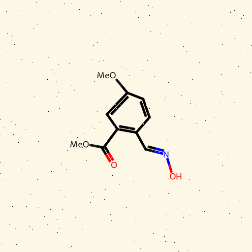 COC(=O)c1cc(OC)ccc1C=NO